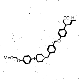 CC=CC(CC(=O)O)c1ccc(OCc2ccc(CN3CCN(c4ccc(OCOC)cc4)CC3)cc2)cc1